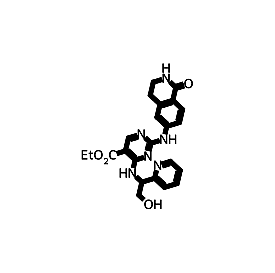 CCOC(=O)c1cnc(Nc2ccc3c(c2)CCNC3=O)nc1NC(CO)c1ccccn1